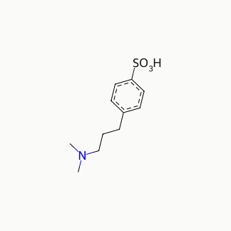 CN(C)CCCc1ccc(S(=O)(=O)O)cc1